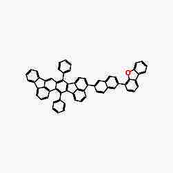 c1ccc(-c2c3cc4c5ccccc5c5cccc(c3c(-c3ccccc3)c3c6cccc7c(-c8ccc9cc(-c%10cccc%11c%10oc%10ccccc%10%11)ccc9c8)ccc(c23)c76)c54)cc1